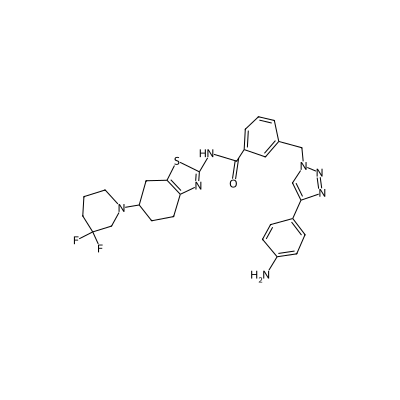 Nc1ccc(-c2cn(Cc3cccc(C(=O)Nc4nc5c(s4)CC(N4CCCC(F)(F)C4)CC5)c3)nn2)cc1